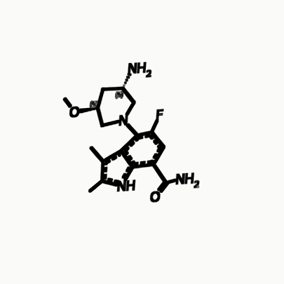 CO[C@H]1C[C@H](N)CN(c2c(F)cc(C(N)=O)c3[nH]c(C)c(C)c23)C1